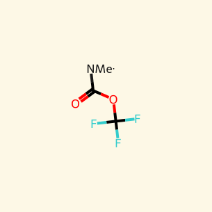 C[N]C(=O)OC(F)(F)F